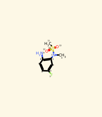 CN(c1cc(F)ccc1N)S(C)(=O)=O